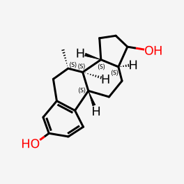 C[C@H]1Cc2cc(O)ccc2[C@H]2CC[C@@H]3C(O)CC[C@H]3[C@@H]21